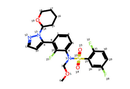 COCN(c1cccc(-c2ccnn2C2CCCCO2)c1F)S(=O)(=O)c1cc(F)ccc1F